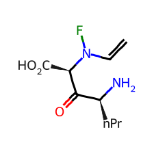 C=CN(F)[C@H](C(=O)O)C(=O)[C@@H](N)CCC